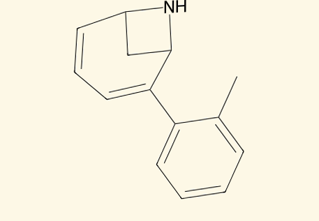 Cc1ccccc1C1=CC=CC2CC1N2